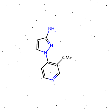 COc1cnccc1-n1ccc(N)n1